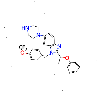 CC(Oc1ccccc1)c1nc2ccc(N3CCNCC3)cc2n1CC1C=CC(OC(F)(F)F)=CC1